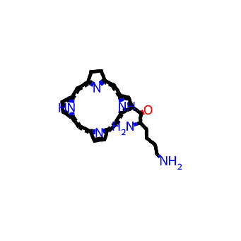 NCCCCC(N)C(=O)c1cc2cc3nc(cc4ccc(cc5nc(cc1[nH]2)C=C5)[nH]4)CC3